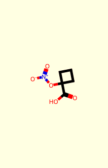 O=C(O)C1(O[N+](=O)[O-])CCC1